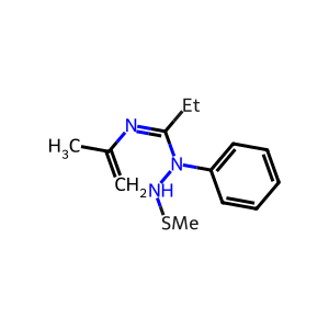 C=C(C)/N=C(/CC)N(NSC)c1ccccc1